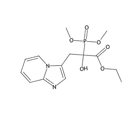 CCOC(=O)C(O)(Cc1cnc2ccccn12)P(=O)(OC)OC